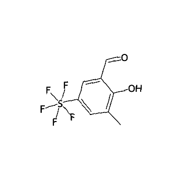 Cc1cc(S(F)(F)(F)(F)F)cc(C=O)c1O